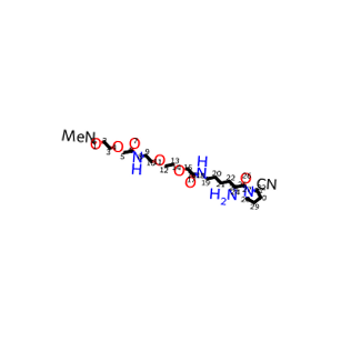 CNOCCOCC(=O)NCCOCCOCC(=O)NCCCC[C@H](N)C(=O)N1CCC[C@H]1C#N